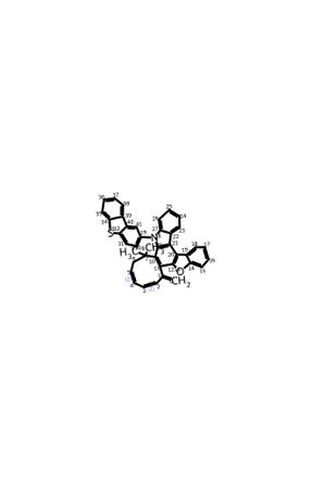 C=C1/C=C\C=C/CC(C)(C)c2c1c1oc3ccccc3c1c1c3ccccc3n(-c3ccc4sc5ccccc5c4c3)c21